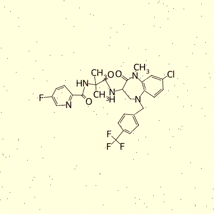 CN1C(=O)C(NC(=O)C(C)(C)NC(=O)c2ccc(F)cn2)CN(Cc2ccc(C(F)(F)F)cc2)c2ccc(Cl)cc21